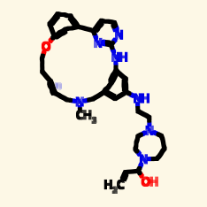 C=CC(O)N1CCCN(CCNc2cc3cc(c2)Nc2nccc(n2)-c2cccc(c2)OCC/C=C/CN(C)C3)CC1